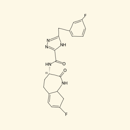 O=C(N[C@H]1CCC2=CC=C(F)CC2NC1=O)c1nnc(Cc2cccc(F)c2)[nH]1